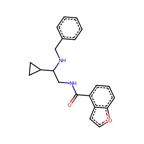 O=C(NCC(NCc1ccccc1)C1CC1)c1cccc2occc12